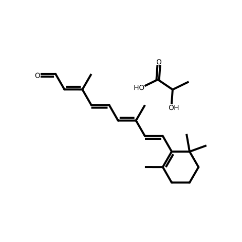 CC(O)C(=O)O.CC1=C(/C=C/C(C)=C/C=C/C(C)=C/C=O)C(C)(C)CCC1